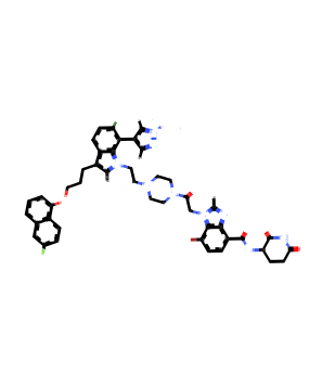 Cc1nn(C)c(C)c1-c1c(Cl)ccc2c(CCCOc3cccc4cc(F)ccc34)c(C(=O)O)n(CCN3CCN(C(=O)Cn4c(C)nc5c(C(=O)NC6CCC(=O)NC6=O)ccc(Br)c54)CC3)c12